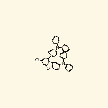 Clc1cc(-c2ccc(N(c3ccccc3)c3ccccc3)cc2)c2c(c1)oc1ccc(N(c3ccccc3)c3ccccc3)cc12